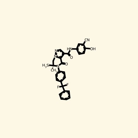 C[C@]1([SiH3])Cn2ncc(C(=O)Nc3ccc(O)c(C#N)c3)c2C(=O)N1c1ccc(C(F)(F)c2ccccc2)cc1